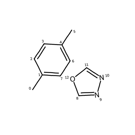 Cc1ccc(C)cc1.c1nnco1